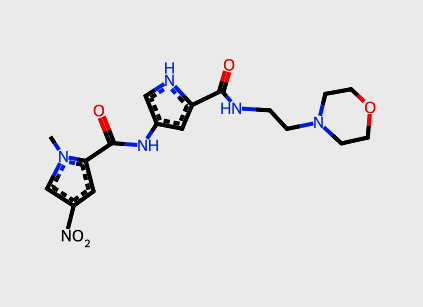 Cn1cc([N+](=O)[O-])cc1C(=O)Nc1c[nH]c(C(=O)NCCN2CCOCC2)c1